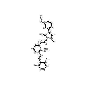 CC1=NN(c2cccc(C=O)c2)C(=O)/C1=N\Nc1cccc(/C=C/c2c(C)cccc2F)c1O